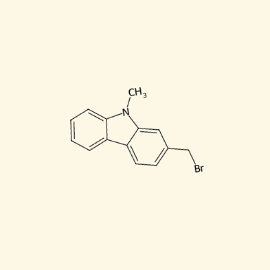 Cn1c2ccccc2c2ccc(CBr)cc21